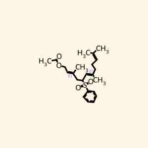 CC(=O)OC/C=C(\C)CC(/C=C(\C)CCC=C(C)C)S(=O)(=O)c1ccccc1